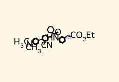 CCOC(=O)/C=C/c1cccc(NC(=O)C2(Cc3ccc(-c4ccc(N(C)C)cc4)c(C#N)c3)CCCCC2)c1